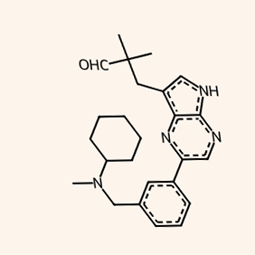 CN(Cc1cccc(-c2cnc3[nH]cc(CC(C)(C)C=O)c3n2)c1)C1CCCCC1